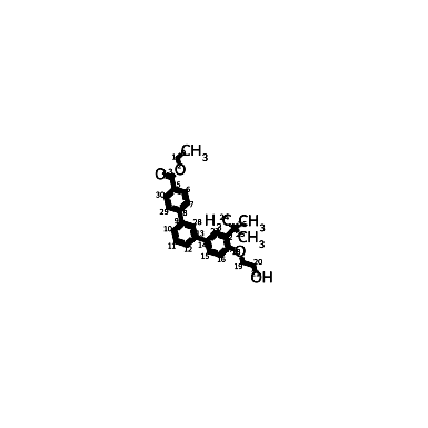 CCOC(=O)c1ccc(-c2cccc(-c3ccc(OCCO)c(C(C)(C)C)c3)c2)cc1